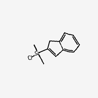 C[Si](C)(Cl)C1=Cc2ccccc2C1